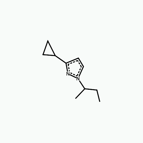 CCC(C)n1ccc(C2CC2)n1